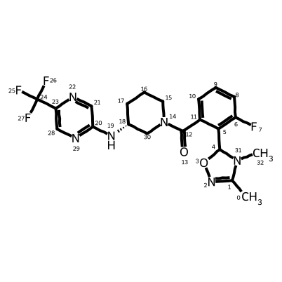 CC1=NOC(c2c(F)cccc2C(=O)N2CCC[C@@H](Nc3cnc(C(F)(F)F)cn3)C2)N1C